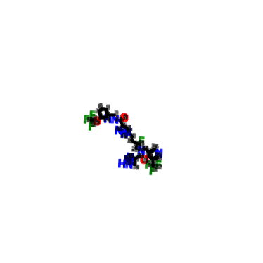 O=C(NCc1cccc(OC(F)(F)F)c1)c1cn(CCC(F)CN(Cc2cncc(C(F)(F)F)c2)C(=O)c2c[nH]nn2)nn1